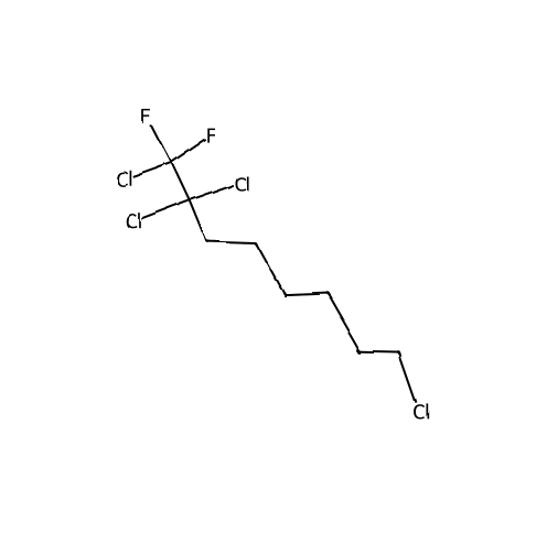 FC(F)(Cl)C(Cl)(Cl)CCCCCCCl